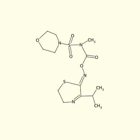 CC(C)C1=NCCSC1=NOC(=O)N(C)S(=O)(=O)N1CCOCC1